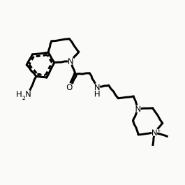 C[N+]1(C)CCN(CCCNCC(=O)N2CCCc3ccc(N)cc32)CC1